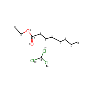 CCCCCCCC(=O)OCC.ClC(Cl)Cl